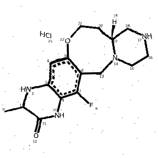 CC1Nc2cc3c(c(F)c2NC1=O)CN1CCNC[C@H]1CCO3.Cl